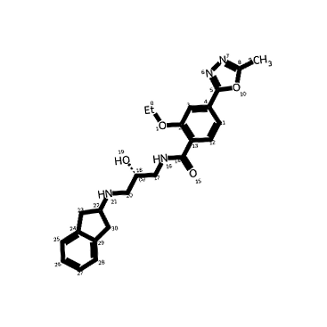 CCOc1cc(-c2nnc(C)o2)ccc1C(=O)NC[C@@H](O)CNC1Cc2ccccc2C1